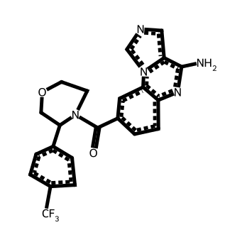 Nc1nc2ccc(C(=O)N3CCOCC3c3ccc(C(F)(F)F)cc3)cc2n2cncc12